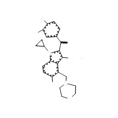 CCOC(=O)c1c(C(=S)c2ccc(F)c(F)c2)n(C2CC2)c2ccc(O)c(CN3CCOCC3)c12.Cl